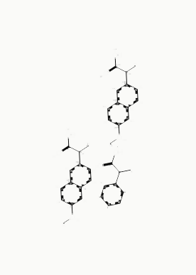 CC(C(=O)O)c1ccccc1.COc1ccc2cc(C(C)C(=O)O)ccc2c1.COc1ccc2cc(C(C)C(=O)O)ccc2c1